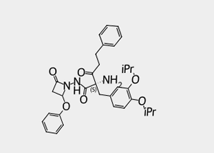 CC(C)Oc1ccc(C[C@](N)(C(=O)CCc2ccccc2)C(=O)NN2C(=O)CC2Oc2ccccc2)cc1OC(C)C